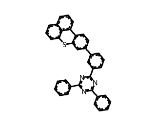 c1ccc(-c2nc(-c3ccccc3)nc(-c3cccc(-c4ccc5c(c4)Sc4cccc6cccc-5c46)c3)n2)cc1